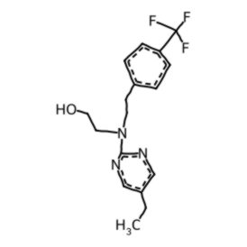 CCc1cnc(N(CCO)CCc2ccc(C(F)(F)F)cc2)nc1